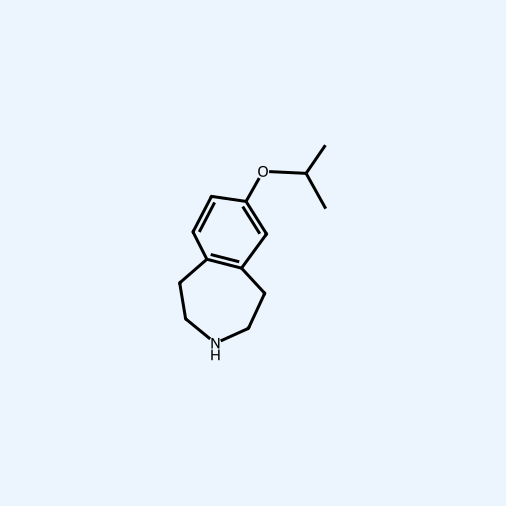 CC(C)Oc1ccc2c(c1)CCNCC2